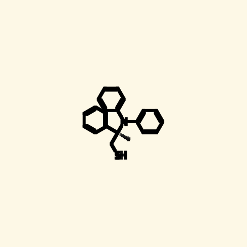 C[C@](CS)(c1ccccc1)N(c1ccccc1)c1ccccc1